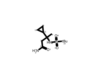 CC(CC(N)=O)(NS(=O)(=O)C(C)(C)C)C1CC1